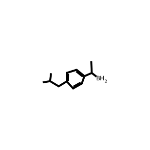 BC(C)c1ccc(CC(C)C)cc1